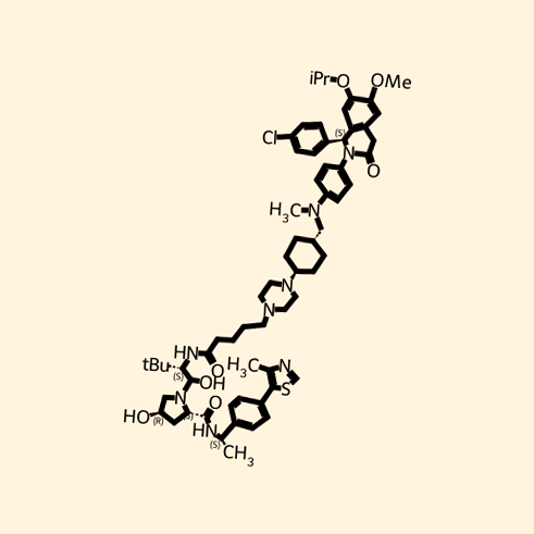 COc1cc2c(cc1OC(C)C)[C@H](c1ccc(Cl)cc1)N(c1ccc(N(C)C[C@H]3CC[C@H](N4CCN(CCCCC(=O)N[C@H](C(O)N5C[C@H](O)C[C@H]5C(=O)N[C@@H](C)c5ccc(-c6scnc6C)cc5)C(C)(C)C)CC4)CC3)cc1)C(=O)C2